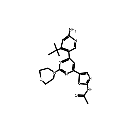 CC(=O)Nc1ncc(-c2cc(-c3cnc(N)cc3C(C)(C)C)nc(N3CCOCC3)n2)s1